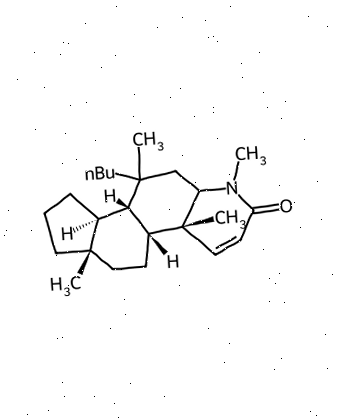 CCCCC1(C)CC2N(C)C(=O)C=C[C@]2(C)[C@@H]2CC[C@]3(C)CCC[C@H]3[C@@H]21